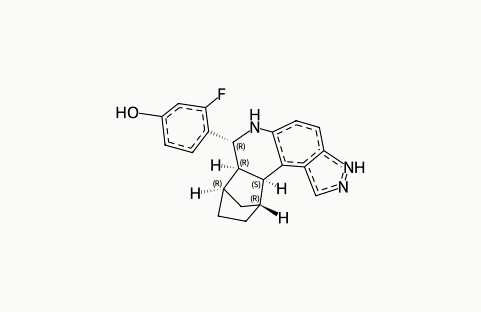 Oc1ccc([C@@H]2Nc3ccc4[nH]ncc4c3[C@H]3[C@@H]4CC[C@H](C4)[C@H]32)c(F)c1